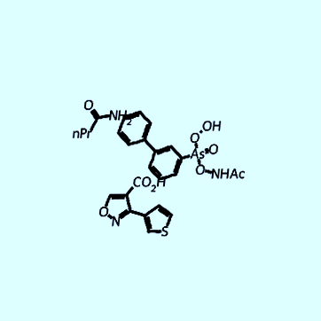 CC(=O)NO[As](=O)(OO)c1cccc(-c2ccccc2)c1.CCCC(N)=O.O=C(O)c1conc1-c1ccsc1